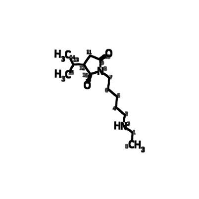 CCNCCCCCN1C(=O)CC(C(C)C)C1=O